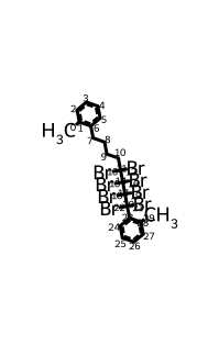 Cc1ccccc1CCCCC(Br)(Br)C(Br)(Br)C(Br)(Br)C(Br)(Br)c1ccccc1C